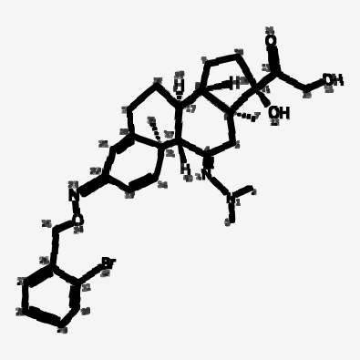 CN(C)/N=C1\C[C@@]2(C)[C@@H](CC[C@]2(O)C(=O)CO)[C@@H]2CCC3=C/C(=N/OCc4ccccc4Br)C=C[C@]3(C)[C@@H]12